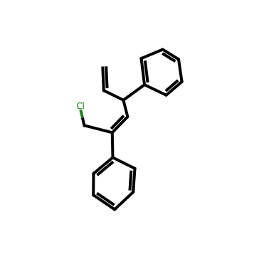 C=CC(C=C(CCl)c1ccccc1)c1ccccc1